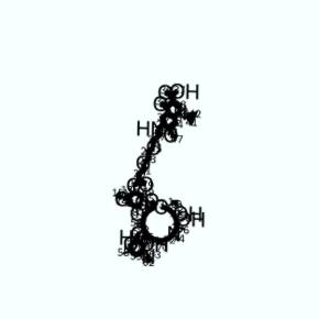 CC[C@H]1OC(=O)[C@H](C)[C@@H](O[C@H]2C[C@@](C)(OC)[C@@H](OC(=O)CCOCCOCCNc3cc4c(=O)c(C(=O)O)cn(C5CC5)c4cc3OC)[C@H](C)O2)[C@H](C)[C@@H](OC2O[C@H](C)C[C@H](N(C)C)[C@H]2O)[C@](C)(O)C[C@@H](C)CN(C)[C@H](C)[C@@H](O)[C@]1(C)O